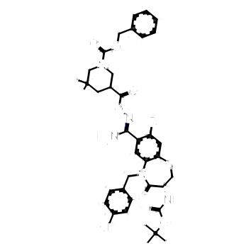 CC(C)(C)OC(=O)N[C@H]1CSc2cc(F)c(/C(N)=N/OC(=O)C3CN(C(=O)OCc4ccccc4)CC(F)(F)C3)cc2N(Cc2ccc(Cl)cc2)C1=O